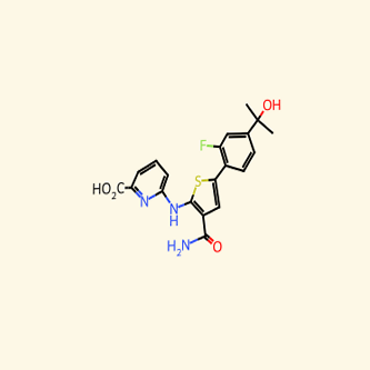 CC(C)(O)c1ccc(-c2cc(C(N)=O)c(Nc3cccc(C(=O)O)n3)s2)c(F)c1